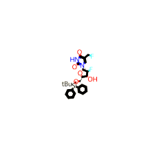 CC(C)(C)[Si](OC[C@@H]1O[C@H](n2cc(CF)c(=O)[nH]c2=O)C(F)C1O)(c1ccccc1)c1ccccc1